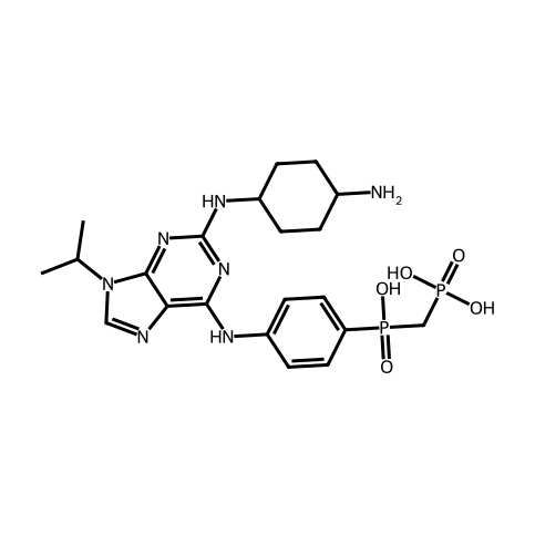 CC(C)n1cnc2c(Nc3ccc(P(=O)(O)CP(=O)(O)O)cc3)nc(NC3CCC(N)CC3)nc21